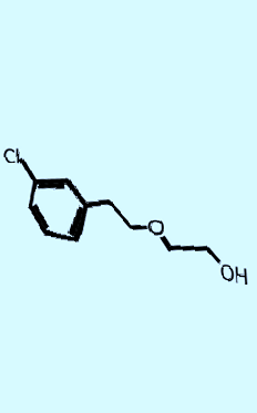 OCCOCCc1cccc(Cl)c1